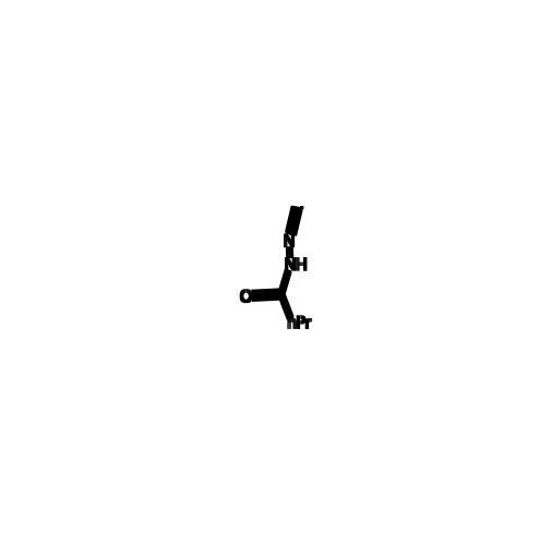 [CH]=NNC(=O)CCC